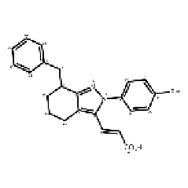 O=C(O)C=Cc1c2c(nn1-c1ccc(F)cc1)C(Cc1ccccc1)CCC2